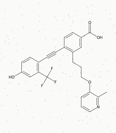 Cc1ncccc1OCCCc1cc(C(=O)O)ccc1C#Cc1ccc(O)cc1C(F)(F)F